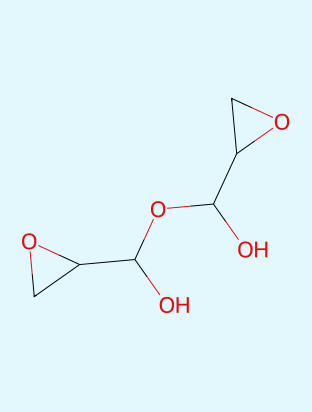 OC(OC(O)C1CO1)C1CO1